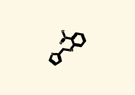 O=[N+]([O-])c1ccccc1NCc1cccs1